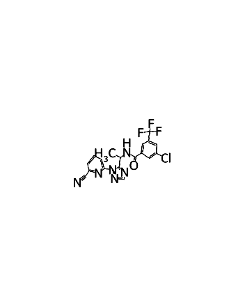 CC(NC(=O)c1cc(Cl)cc(C(F)(F)F)c1)c1ncnn1-c1cccc(C#N)n1